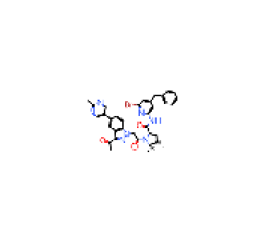 CC(=O)c1nn(CC(=O)N2C(C(=O)Nc3cc(Cc4ccccc4)cc(Br)n3)C[C@H](C)[C@H]2C)c2ccc(-c3cnc(C)nc3)cc12